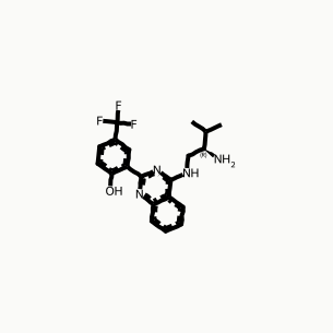 CC(C)[C@@H](N)CNc1nc(-c2cc(C(F)(F)F)ccc2O)nc2ccccc12